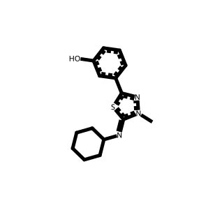 Cn1nc(-c2cccc(O)c2)sc1=NC1CCCCC1